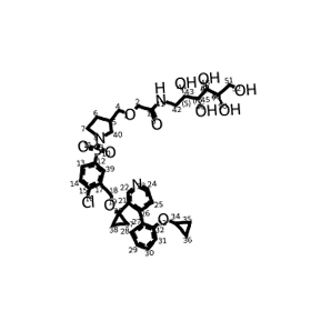 O=C(COCC1CCN(S(=O)(=O)c2ccc(Cl)c(COC3(c4cnccc4-c4ccccc4OC4CC4)CC3)c2)C1)NC[C@H](O)[C@@H](O)[C@H](O)[C@H](O)CO